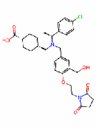 C[C@@H](c1ccc(Cl)cc1)N(Cc1ccc(OCCN2C(=O)CCC2=O)c(CO)c1)C[C@H]1CC[C@H](C(=O)O)CC1